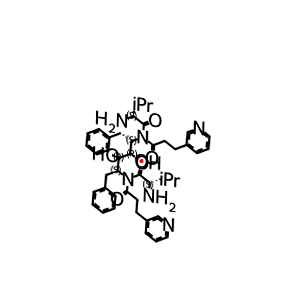 CC(C)[C@H](N)C(=O)N(C(=O)CCc1cccnc1)[C@@H](Cc1ccccc1)[C@@H](O)[C@H](O)[C@H](Cc1ccccc1)N(C(=O)CCc1cccnc1)C(=O)[C@@H](N)C(C)C